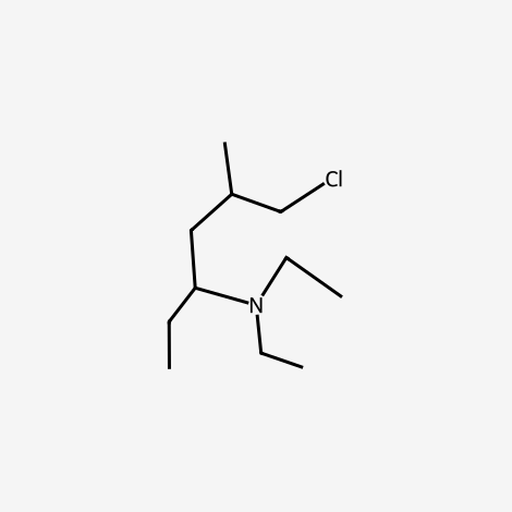 CCC(CC(C)CCl)N(CC)CC